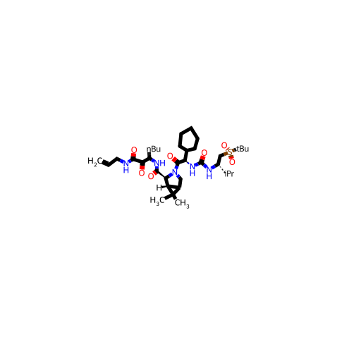 C=CCNC(=O)C(=O)C(CCCC)NC(=O)[C@@H]1[C@@H]2C(CN1C(=O)[C@@H](NC(=O)N[C@H](CS(=O)(=O)C(C)(C)C)C(C)C)C1CCCCC1)C2(C)C